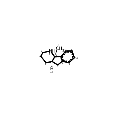 C[C@@]12NCCC[C@@H]1Cc1ccccc12